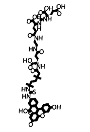 CC(C)(CCC(C)(C)NC(=S)Nc1ccc(-c2c3ccc(=O)cc-3oc3cc(O)ccc23)c(C(=O)O)c1)CC(=O)N[C@@H](CCC(=O)NCCNC(=O)CC[C@H](NC(=O)N[C@@H](CCC(=O)O)C(=O)O)C(=O)O)C(=O)O